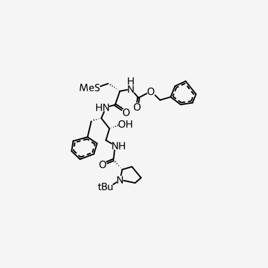 CSC[C@H](NC(=O)OCc1ccccc1)C(=O)N[C@@H](Cc1ccccc1)[C@H](O)CNC(=O)[C@@H]1CCCN1C(C)(C)C